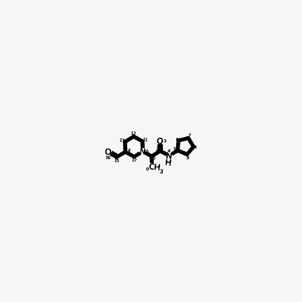 CC(C(=O)NC1CCCC1)N1CCCC(C=O)C1